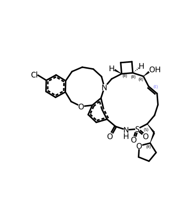 O=C1NS(=O)(=O)[C@H](C[C@H]2CCCO2)CC/C=C/[C@H](O)[C@@H]2CC[C@H]2CN2CCCCc3cc(Cl)ccc3COc3ccc1cc32